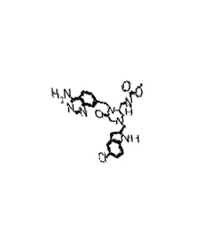 COC(=O)NC[C@H]1CN(Cc2cc3cc(Cl)ccc3[nH]2)CC(=O)N1Cc1ccc2c(N)ncnc2c1